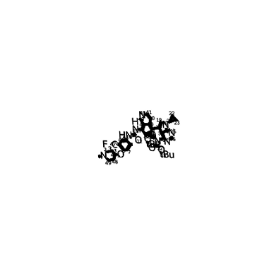 CN1CCC(Oc2ccc(NC(=O)Nc3ccc(-c4cn(C5CC5)c5ncnc(N(C(=O)OC(C)(C)C)C(=O)OC(C)(C)C)c45)c4ccncc34)cc2C(F)(F)F)CC1